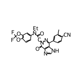 CCN(C(=O)Cn1nc(-c2ccc(C#N)c(C)c2)c2[nH]cnc2c1=O)c1ccc2c(c1)OC(F)(F)O2